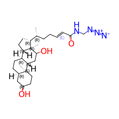 C[C@H](CC/C=C/C(=O)NCN=[N+]=[N-])[C@H]1CC[C@H]2[C@@H]3CC[C@@H]4C[C@H](O)CC[C@]4(C)[C@H]3CC(O)[C@]12C